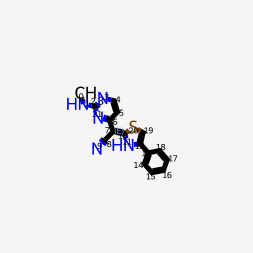 CNc1nccc(/C(C#N)=C2/NC(c3ccccc3)=CS2)n1